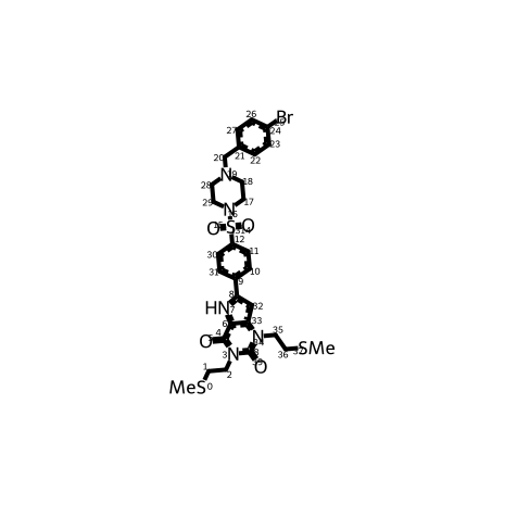 CSCCn1c(=O)c2[nH]c(-c3ccc(S(=O)(=O)N4CCN(Cc5ccc(Br)cc5)CC4)cc3)cc2n(CCSC)c1=O